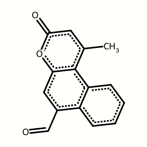 Cc1cc(=O)oc2cc(C=O)c3ccccc3c12